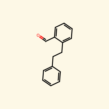 O=[C]c1ccccc1CCc1ccccc1